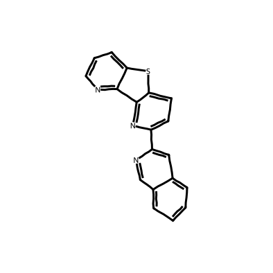 c1ccc2cc(-c3ccc4sc5cccnc5c4n3)ncc2c1